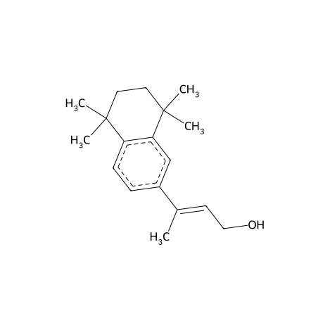 CC(=CCO)c1ccc2c(c1)C(C)(C)CCC2(C)C